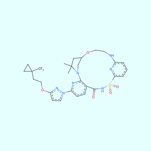 CC1(C)CC2CN1c1nc(-n3ccc(OCCC4(C(F)(F)F)CC4)n3)ccc1C(=O)NS(=O)(=O)c1cccc(n1)NCCO2